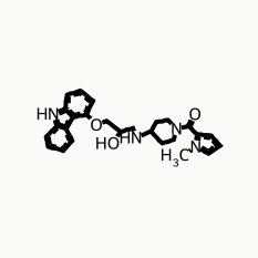 Cn1cccc1C(=O)N1CCC(NCC(O)COc2cccc3[nH]c4ccccc4c23)CC1